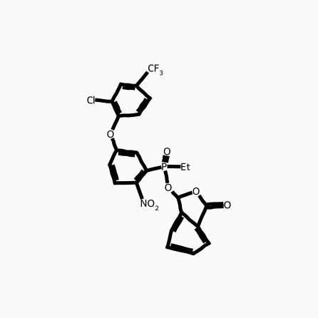 CCP(=O)(OC1OC(=O)c2ccccc21)c1cc(Oc2ccc(C(F)(F)F)cc2Cl)ccc1[N+](=O)[O-]